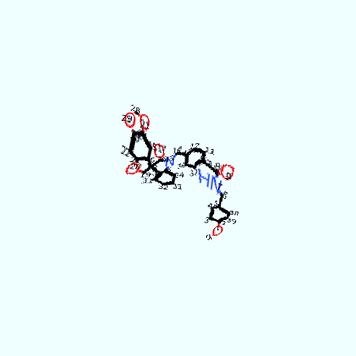 COc1ccc(CNC(=O)c2ccc(CN3C(=O)C4(COc5cc6c(cc54)OCO6)c4ccccc43)cc2)cc1